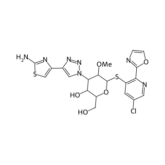 COC1C(Sc2cc(Cl)cnc2-c2ncco2)OC(CO)C(O)C1n1cc(-c2csc(N)n2)nn1